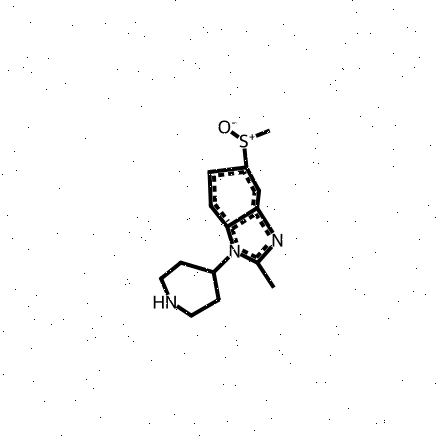 Cc1nc2cc([S+](C)[O-])ccc2n1C1CCNCC1